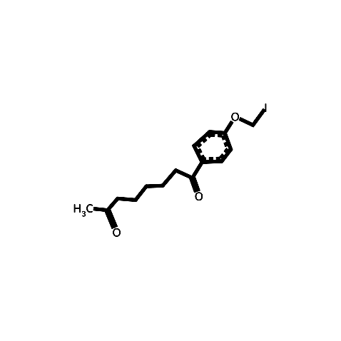 CC(=O)CCCCCC(=O)c1ccc(OCI)cc1